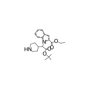 CCOC(=O)c1cc2ccccc2n1C(C(=O)OC(C)(C)C)C1CCNCC1